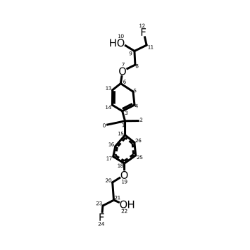 CC(C)(C1=CCC(OCC(O)CF)C=C1)c1ccc(OCC(O)CF)cc1